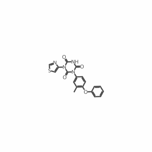 Cc1cc(-n2c(=O)[nH]c(=O)n(-c3cscn3)c2=O)ccc1Oc1ccccc1